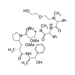 CC[C@H](C)[C@@H]([C@@H](CC(=O)N1CCCC1[C@H](OC)[C@@H](C)C(=O)N[C@H](C)[C@@H](O)c1ccccc1)OC)N(C)C(=O)C(NC(=O)C(C(C)C)N(C)CCOCCO)C(C)C